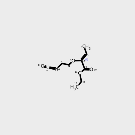 C/C=C(\OCCN=C=O)C(=O)OCC